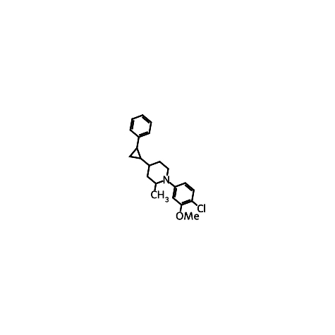 COc1cc(N2CCC(C3CC3c3ccccc3)CC2C)ccc1Cl